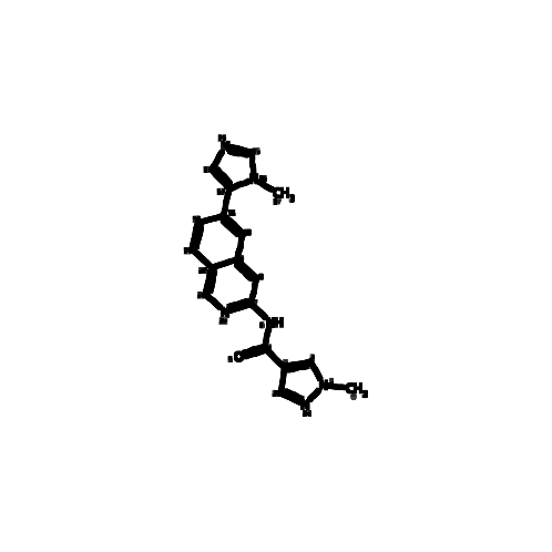 Cn1cc(C(=O)Nc2cc3cc(-c4cncn4C)ccc3cn2)cn1